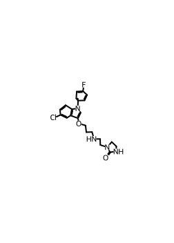 O=C1NCCN1CCNCCCOc1cn(-c2ccc(F)cc2)c2ccc(Cl)cc12